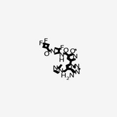 COc1ncc(-c2cc(Cn3ccnc3C)c3c(N)ncnn23)cc1C(=O)NC1CN(C(=O)C2CC(F)(F)C2)CC1F